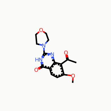 COc1ccc2c(=O)[nH]c(N3CCOCC3)nc2c1C(C)=O